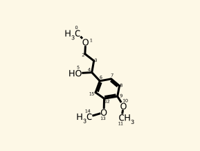 COCCC(O)c1ccc(OC)c(OC)c1